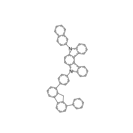 c1ccc(-c2cccc3c2Cc2c(-c4ccc(-n5c6ccccc6c6c7c8ccccc8n(-c8ccc9ccccc9c8)c7ccc65)cc4)cccc2-3)cc1